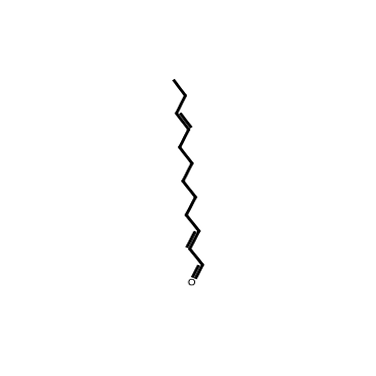 CCC=CCCCCCC=CC=O